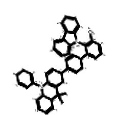 CC1(C)C2=C(C=CC(C3=CCC(c4cccc(C#N)c4-n4c5ccccc5c5ccccc54)C=C3)C2)N(C2=CCCC=C2)C2C=CC=CC21